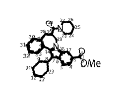 COC(=O)c1ccc2c(C3CCCCC3)c3n(c2c1)CC(C(=O)N1CCCCC1)=Cc1ccccc1-3